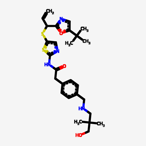 C=CC(Sc1cnc(NC(=O)Cc2ccc(CNCC(C)(C)CO)cc2)s1)c1ncc(C(C)(C)C)o1